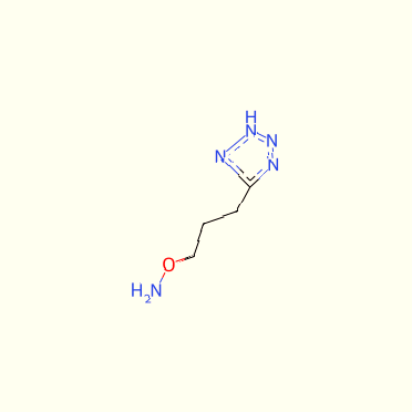 NOCCCc1nn[nH]n1